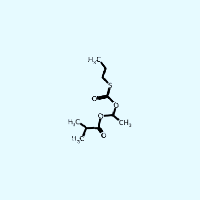 CCCSC(=O)OC(C)OC(=O)C(C)C